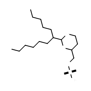 CCCCCCC(CCCCC)C1OCCC(COS(=O)(=O)O)O1